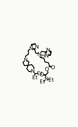 CCC(CC)N1CCC2(CCN(CCCn3ccnc3CN(CCCCC(=O)OCC(=O)N(CC)CC)Cc3ncc[nH]3)C2)CC1